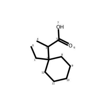 CCC1(C(C)C(=O)O)CCCCC1